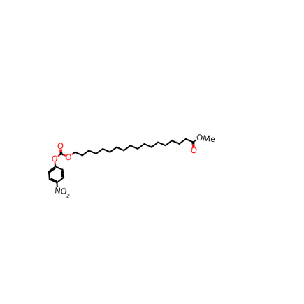 COC(=O)CCCCCCCCCCCCCCCCCOC(=O)Oc1ccc([N+](=O)[O-])cc1